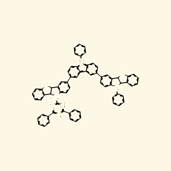 c1ccc(-c2nc(-c3ccccc3)nc(N3c4ccc(-c5ccc6c(c5)c5cc(-c7ccc8c(c7)C7Sc9ccccc9C7N8c7ccccc7)ccc5n6-c5ccccc5)cc4C4Sc5ccccc5C43)n2)cc1